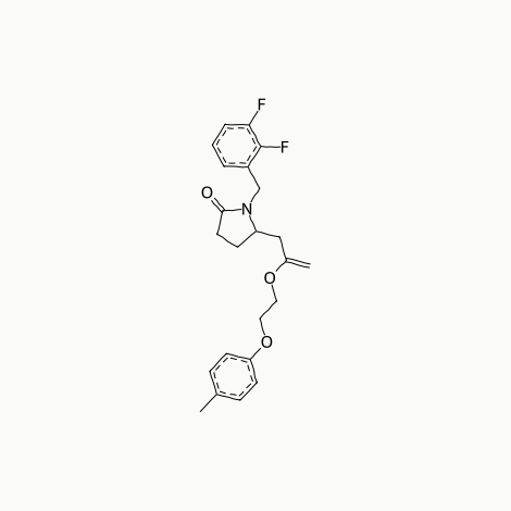 C=C(CC1CCC(=O)N1Cc1cccc(F)c1F)OCCOc1ccc(C)cc1